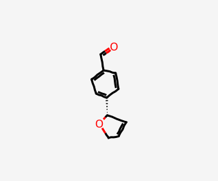 O=Cc1ccc([C@@H]2C=CCO2)cc1